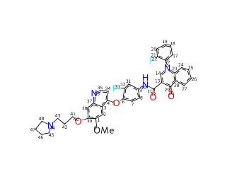 COc1cc2c(Oc3ccc(NC(=O)c4cn(-c5ccccc5F)c5ccccc5c4=O)cc3F)ccnc2cc1OCCCN1CCCC1